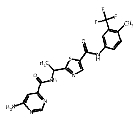 Cc1ccc(NC(=O)c2cnc(C(C)NC(=O)c3cc(N)ncn3)s2)cc1C(F)(F)F